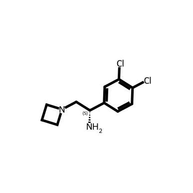 N[C@H](CN1CCC1)c1ccc(Cl)c(Cl)c1